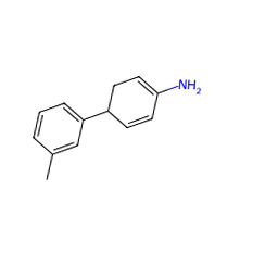 Cc1cccc(C2C=CC(N)=CC2)c1